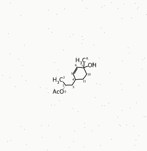 CC(=O)O[C@H](C)CC1C=CC(C)(O)CC1